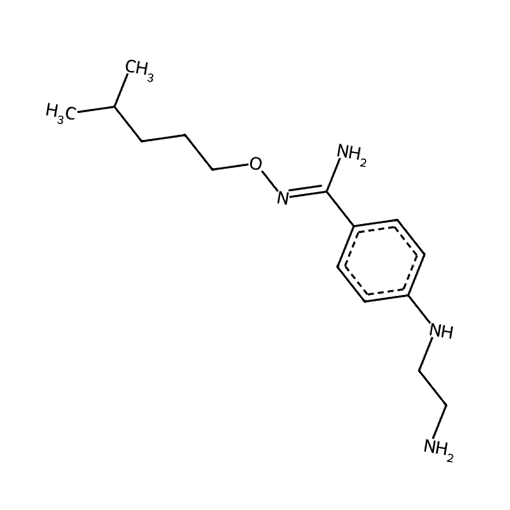 CC(C)CCCON=C(N)c1ccc(NCCN)cc1